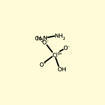 NN.[Co].[O-][Cl+3]([O-])([O-])O